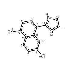 Clc1ccc2c(Br)ccc(-c3nccs3)c2c1